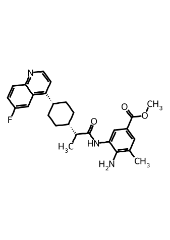 COC(=O)c1cc(C)c(N)c(NC(=O)C(C)[C@H]2CC[C@@H](c3ccnc4ccc(F)cc43)CC2)c1